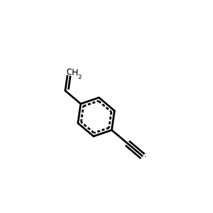 [C]#Cc1ccc(C=C)cc1